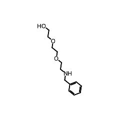 OCCOCCOCCNCc1ccccc1